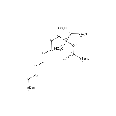 CCCCCCCCCCCCCCCCCC(C(=O)O)C(CC(=O)O)(OC(=O)CCCCC)C(=O)O